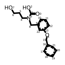 O=C(O)N(CCCO)Cc1cccc(OCc2ccccc2)c1